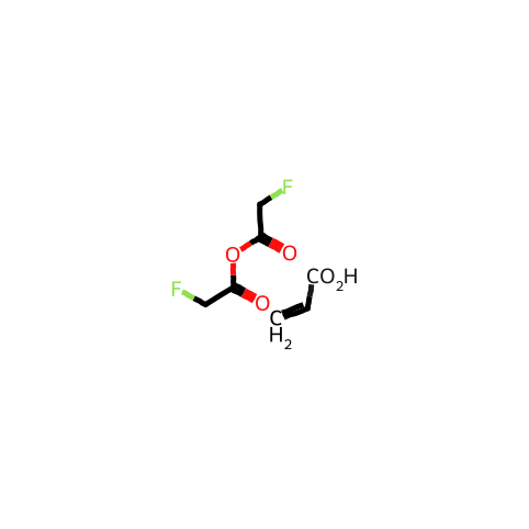 C=CC(=O)O.O=C(CF)OC(=O)CF